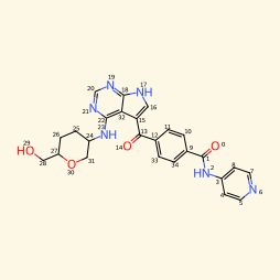 O=C(Nc1ccncc1)c1ccc(C(=O)c2c[nH]c3ncnc(NC4CCC(CO)OC4)c23)cc1